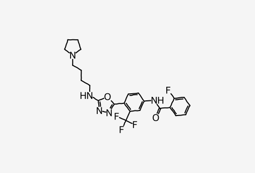 O=C(Nc1ccc(-c2nnc(NCCCCN3CCCC3)o2)c(C(F)(F)F)c1)c1ccccc1F